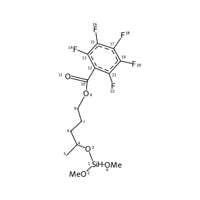 CO[SiH](OC)OC(C)CCCOC(=O)c1c(F)c(F)c(F)c(F)c1F